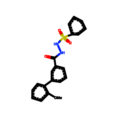 COc1ccccc1-c1cccc(C(=O)NNS(=O)(=O)c2ccccc2)c1